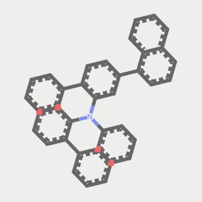 c1ccc(-c2ccccc2N(c2ccccc2)c2cc(-c3cccc4ccccc34)ccc2-c2ccccc2)cc1